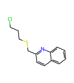 ClCCCSCc1ccc2ccccc2n1